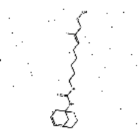 COC/C(F)=C/CCCCCNC(=O)NC12CC=C=C(CCC1)C2